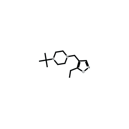 CCc1oncc1CN1CCN(C(C)(C)C)CC1